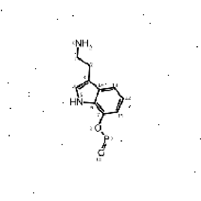 NCCc1c[nH]c2c(OP=O)cccc12